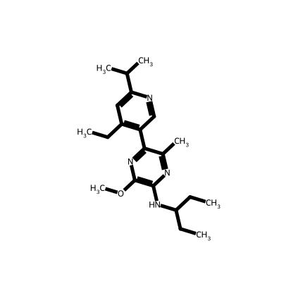 CCc1cc(C(C)C)ncc1-c1nc(OC)c(NC(CC)CC)nc1C